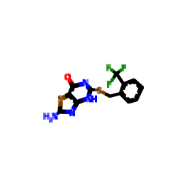 Nc1nc2[nH]c(SCc3ccccc3C(F)(F)F)nc(=O)c2s1